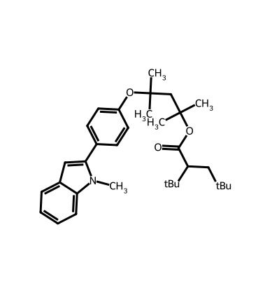 Cn1c(-c2ccc(OC(C)(C)CC(C)(C)OC(=O)C(CC(C)(C)C)C(C)(C)C)cc2)cc2ccccc21